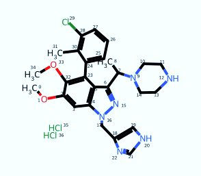 COc1cc2c(c(C(C)N3CCNCC3)nn2Cc2c[nH]cn2)c(-c2cccc(Cl)c2C)c1OC.Cl.Cl